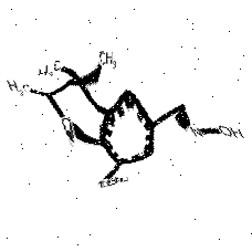 CC1Oc2c(C(C)(C)C)cc(C=NO)cc2C1(C)C